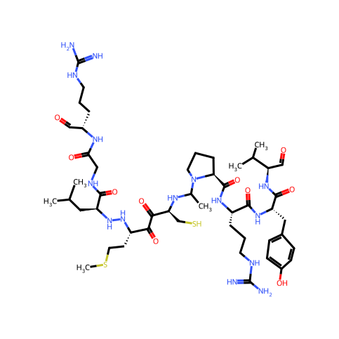 CSCC[C@H](NN[C@@H](CC(C)C)C(=O)NCC(=O)N[C@H](C=O)CCCNC(=N)N)C(=O)C(=O)[C@H](CS)NC(C)N1CCC[C@H]1C(=O)N[C@@H](CCCNC(=N)N)C(=O)N[C@@H](Cc1ccc(O)cc1)C(=O)N[C@H](C=O)C(C)C